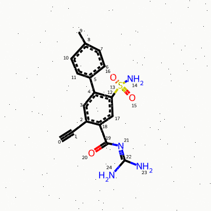 C#Cc1cc(-c2ccc(C)cc2)c(S(N)(=O)=O)cc1C(=O)N=C(N)N